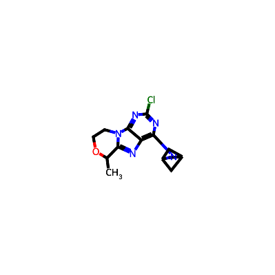 CC1OCCn2c1nc1c(N3CC4CC3C4)nc(Cl)nc12